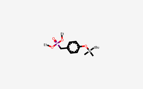 CCOP(=O)(Cc1ccc(O[Si](C)(C)C(C)(C)C)cc1)OCC